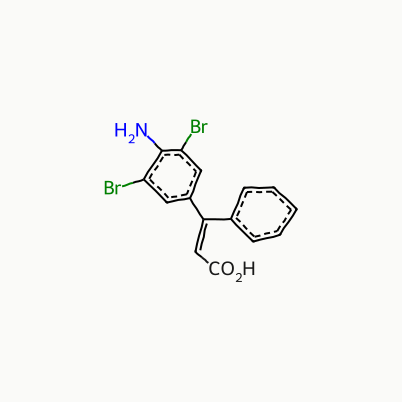 Nc1c(Br)cc(C(=CC(=O)O)c2ccccc2)cc1Br